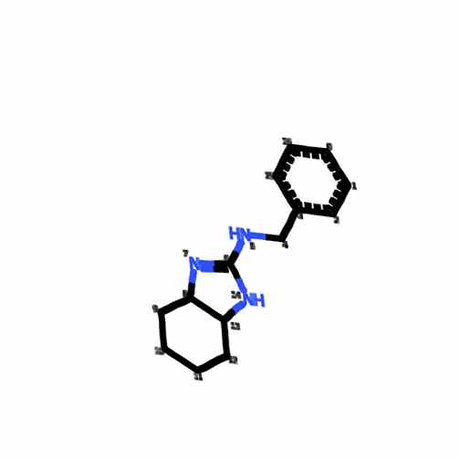 c1ccc(CNC2=NC3CCCCC3N2)cc1